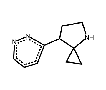 c1cnnc(C2CCNC23CC3)c1